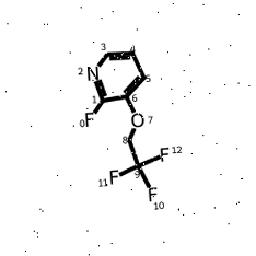 Fc1ncccc1OCC(F)(F)F